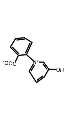 O=C([O-])c1ccccc1-[n+]1cccc(O)c1